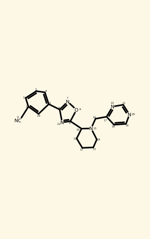 N#Cc1cccc(-c2noc(C3CCCCN3Cc3ccncn3)n2)c1